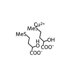 CSCCC(O)C(=O)[O-].CSCCC(O)C(=O)[O-].[Cu+2]